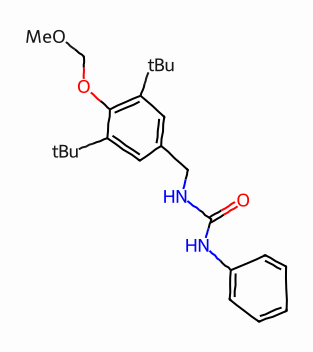 COCOc1c(C(C)(C)C)cc(CNC(=O)Nc2ccccc2)cc1C(C)(C)C